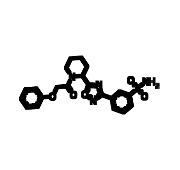 NS(=O)(=O)c1cccc(-c2noc(C3CCCCN3C(=O)COc3ccccc3)n2)c1